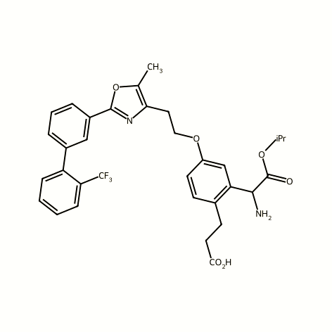 Cc1oc(-c2cccc(-c3ccccc3C(F)(F)F)c2)nc1CCOc1ccc(CCC(=O)O)c(C(N)C(=O)OC(C)C)c1